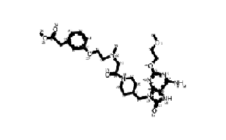 COCCOc1nc(N)c2[nH]c(=O)n(CC3CCN(C(=O)CN(C)CCOc4cccc(CC(=O)OC)c4)CC3)c2n1